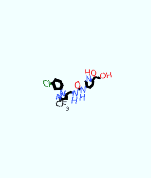 O=C(NCc1cc(C(F)(F)F)nn1-c1cccc(Cl)c1)Nc1ccc(C(O)CO)nc1